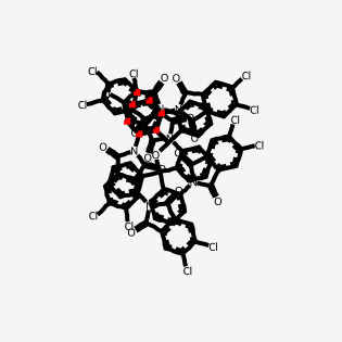 O=C1c2cc(Cl)c(Cl)cc2C(=O)N1c1ccccc1C(OC(c1ccccc1N1C(=O)c2cc(Cl)c(Cl)cc2C1=O)(c1ccccc1N1C(=O)c2cc(Cl)c(Cl)cc2C1=O)c1ccccc1N1C(=O)c2cc(Cl)c(Cl)cc2C1=O)(c1ccccc1N1C(=O)c2cc(Cl)c(Cl)cc2C1=O)c1ccccc1N1C(=O)c2cc(Cl)c(Cl)cc2C1=O